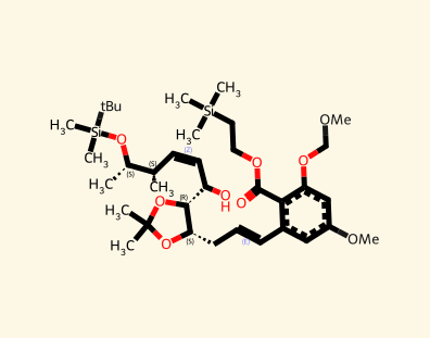 COCOc1cc(OC)cc(/C=C/C[C@@H]2OC(C)(C)O[C@@H]2C(O)/C=C\[C@H](C)[C@H](C)O[Si](C)(C)C(C)(C)C)c1C(=O)OCC[Si](C)(C)C